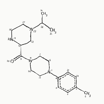 Cc1ccc(N2CCN(C(=O)[C@H]3CN(C(C)C)CCN3)CC2)cc1